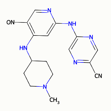 CN1CCC(Nc2cc(Nc3cnc(C#N)cn3)ncc2N=O)CC1